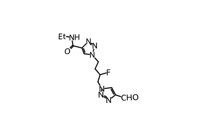 CCNC(=O)c1cn(CCC(F)Cn2cc(C=O)nn2)nn1